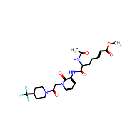 COC(=O)C=CCCC(NC(C)=O)C(=O)Nc1cccn(CC(=O)N2CCC(C(F)(F)F)CC2)c1=O